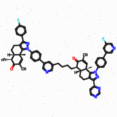 CCC[C@H]1C(=O)C(C#N)=C[C@@]2(C)c3c(c(-c4ccc(F)cc4)nn3-c3ccc(-c4cncc(CCCC[C@H]5C(=O)C(C#N)=C[C@@]6(C)c7c(c(-c8ccncn8)nn7-c7ccc(-c8cncc(F)c8)cc7)CC[C@H]56)c4)cc3)CC[C@H]12